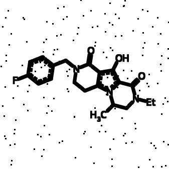 CCN1CC(C)n2c3c(c(O)c2C1=O)C(=O)N(Cc1ccc(F)cc1)CC3